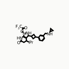 CC(C)C1CC(=O)NC2=C1C(C1CC(c3cccc(CNC4CC4)c3)C1)NN2OC(=O)C(F)(F)F